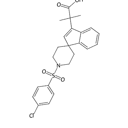 CC(C)(C(=O)O)C1=CC2(CCN(S(=O)(=O)c3ccc(Cl)cc3)CC2)c2ccccc21